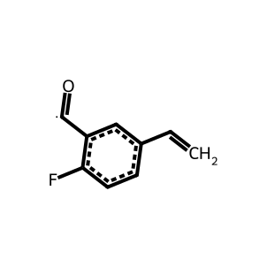 C=Cc1ccc(F)c([C]=O)c1